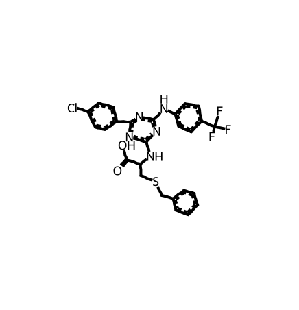 O=C(O)C(CSCc1ccccc1)Nc1nc(Nc2ccc(C(F)(F)F)cc2)nc(-c2ccc(Cl)cc2)n1